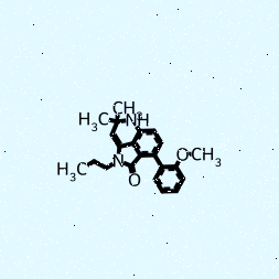 CCCN1C(=O)c2c(-c3ccccc3OC)ccc3c2C1=CC(C)(C)N3